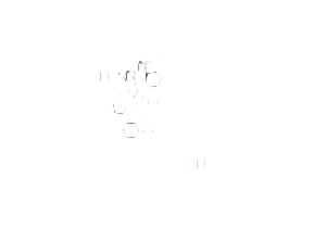 CCCCCCCOc1cccc(-c2ccoc2C(=O)OC(=O)c2ccc(O)c([N+](=O)[O-])c2C(=O)NN)c1